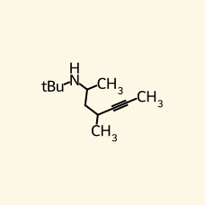 CC#CC(C)CC(C)NC(C)(C)C